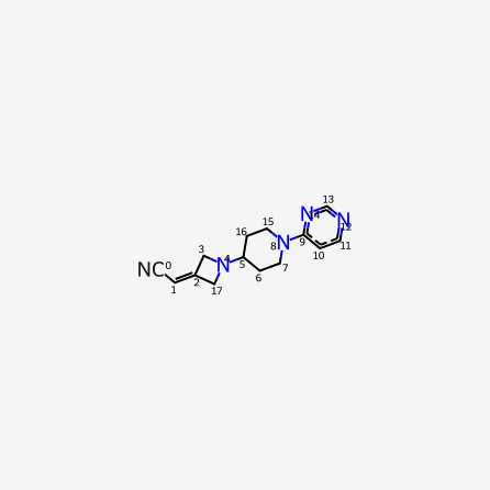 N#CC=C1CN(C2CCN(c3ccncn3)CC2)C1